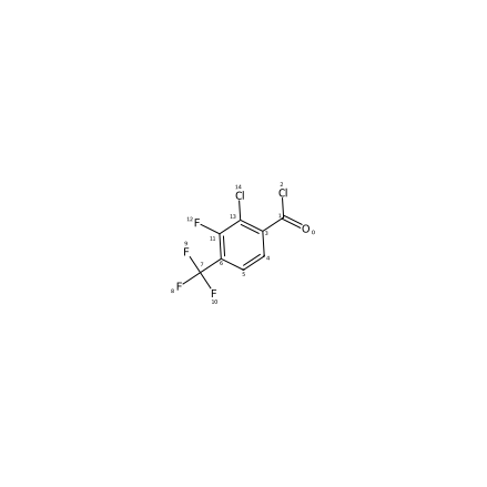 O=C(Cl)c1ccc(C(F)(F)F)c(F)c1Cl